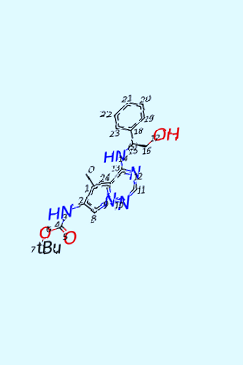 Cc1c(NC(=O)OC(C)(C)C)cn2ncnc(N[C@H](CO)c3ccccc3)c12